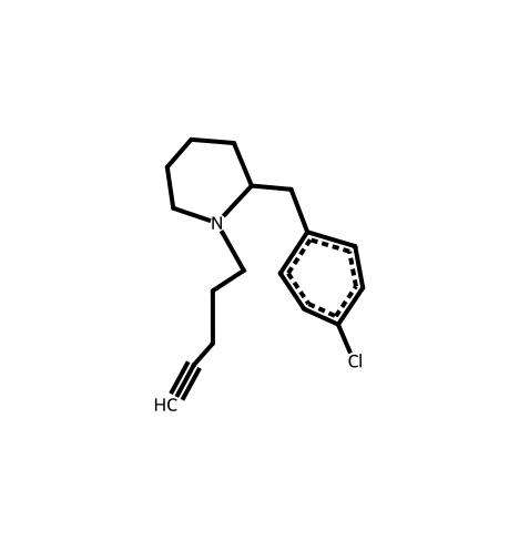 C#CCCCN1CCCCC1Cc1ccc(Cl)cc1